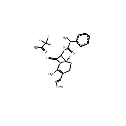 CON=CC1=C(C(=O)O)N2C(=O)C(NC(=O)[C@@H](N)c3ccccc3)[C@@H]2SC1.O=C(O)C(F)(F)F